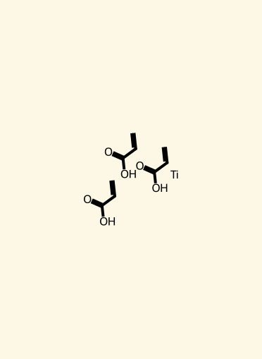 C=CC(=O)O.C=CC(=O)O.C=CC(=O)O.[Ti]